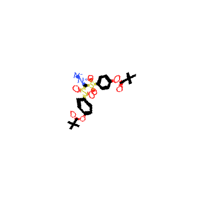 CC(C)(C)C(=O)Oc1ccc(S(=O)(=O)C(=[N+]=[N-])S(=O)(=O)c2ccc(OC(=O)C(C)(C)C)cc2)cc1